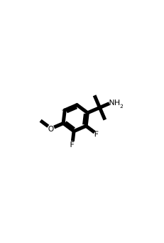 COc1[c]cc(C(C)(C)N)c(F)c1F